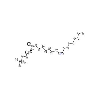 CCCCCCCC/C=C\CCCCCCCC(=O)[P-]OCC[N+](C)(C)C